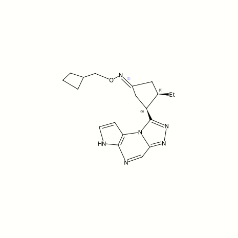 CC[C@@H]1C/C(=N/OCC2CCC2)C[C@@H]1c1nnc2cnc3[nH]ccc3n12